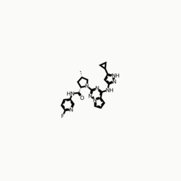 C[C@H]1C[C@@H](C(=O)Nc2ccc(F)nc2)N(c2nc(Nc3cc(C4CC4)[nH]n3)c3cccn3n2)C1